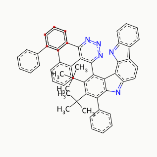 CC(C)(C)c1c(-c2ccccc2)c2c(c(-c3nnnc(-c4ccccc4)c3-c3ccccc3-c3ccccc3-c3ccccc3)c1C(C)(C)C)-c1c3c(ccc1=N2)=c1ccccc1=N3